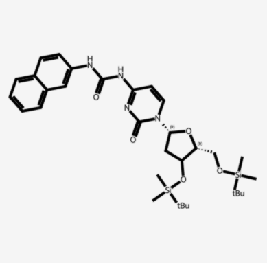 CC(C)(C)[Si](C)(C)OC[C@H]1O[C@@H](n2ccc(NC(=O)Nc3ccc4ccccc4c3)nc2=O)CC1O[Si](C)(C)C(C)(C)C